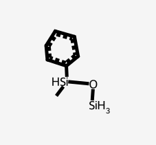 C[SiH](O[SiH3])c1ccccc1